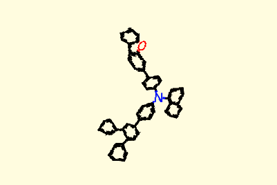 c1ccc(-c2ccc(-c3ccc(N(c4ccc(-c5ccc6c(c5)oc5ccccc56)cc4)c4cccc5ccccc45)cc3)cc2-c2ccccc2)cc1